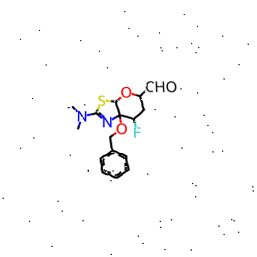 CN(C)C1=NC2(OCc3ccccc3)C(F)CC(C=O)OC2S1